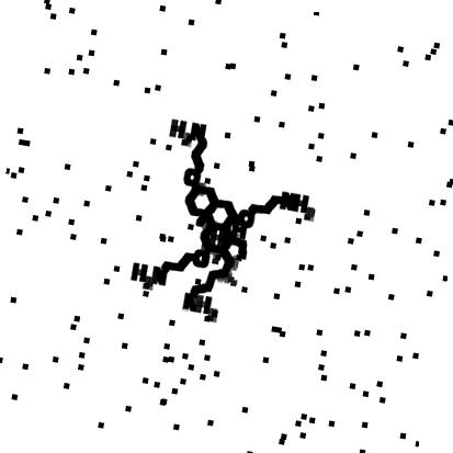 C[C@H](CCCN)[C@H]1CC[C@H]2C3[C@H](OCCCN)CC4C[C@H](OCCCN)CCC4(C)[C@H]3C[C@H](OCCCN)[C@]12C